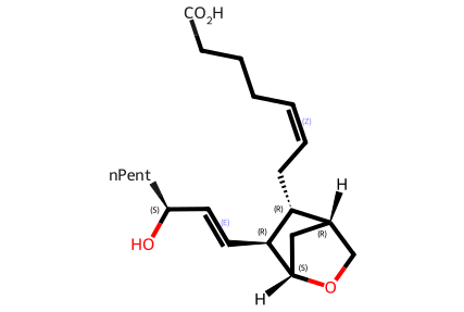 CCCCC[C@H](O)/C=C/[C@H]1[C@H](C/C=C\CCCC(=O)O)[C@@H]2CO[C@H]1C2